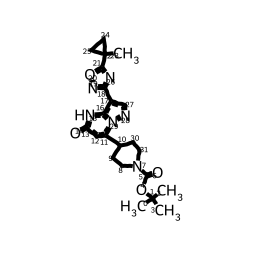 CC(C)(C)OC(=O)N1CCC(c2cc(=O)[nH]c3c(-c4noc(C5(C)CC5)n4)cnn23)CC1